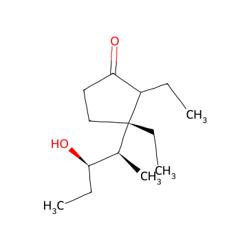 CCC1C(=O)CC[C@@]1(CC)[C@@H](C)[C@H](O)CC